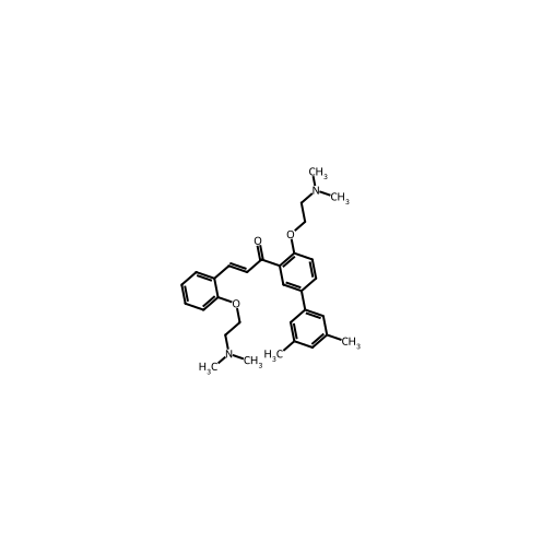 Cc1cc(C)cc(-c2ccc(OCCN(C)C)c(C(=O)/C=C/c3ccccc3OCCN(C)C)c2)c1